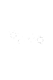 CON=C(CCN1CCC(c2cnccn2)C1)c1ccc(F)cc1